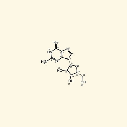 Nc1nc2c(ncn2[C@@H]2O[C@H](CO)C(O)C2O)c(=[Se])[nH]1